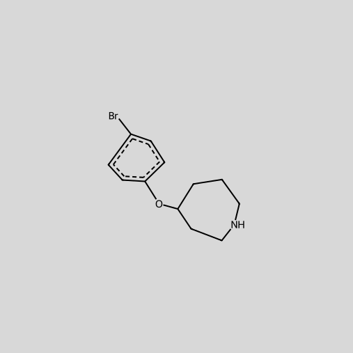 Brc1ccc(OC2CCCNCC2)cc1